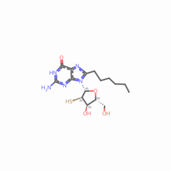 CCCCCCc1nc2c(=O)[nH]c(N)nc2n1[C@@H]1O[C@H](CO)[C@@H](O)[C@H]1S